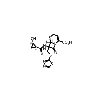 N#C[C@H]1C[C@@H]1C(=S)NC1(CSc2nncs2)C(=O)N2C(C(=O)O)=CCS[C@H]21